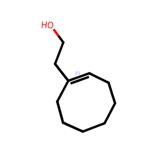 OCC/C1=C/CCCCCC1